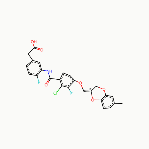 Cc1ccc2c(c1)OC[C@H](COc1ccc(C(=O)Nc3cc(CC(=O)O)ccc3F)c(Cl)c1F)O2